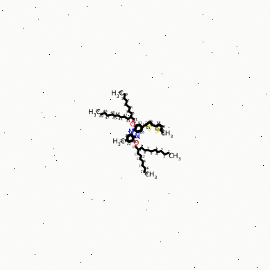 CCCCCCCCCCC(CCCCCCCC)COc1cc(C)cc2nc3c(OCC(CCCCCCCC)CCCCCCCCCC)cc(-c4ccc(-c5ccc(C)s5)s4)cc3nc12